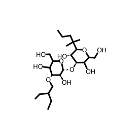 CCCC(C)(C)C1OC(CO)C(O)[C@@H](O[C@H]2OC(CO)C(O)[C@@H](OCC(CC)CC)[C@@H]2O)[C@@H]1O